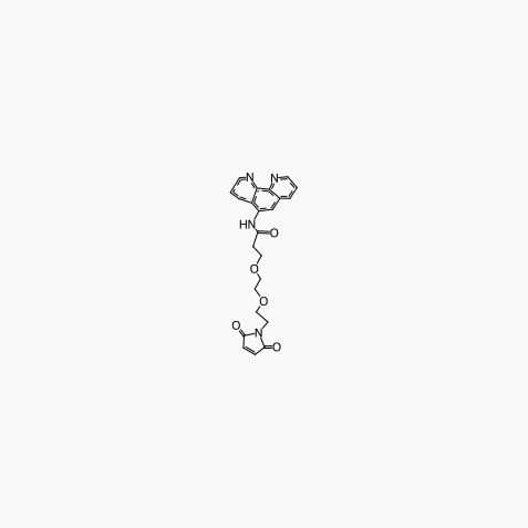 O=C(CCOCCOCCN1C(=O)C=CC1=O)Nc1cc2cccnc2c2ncccc12